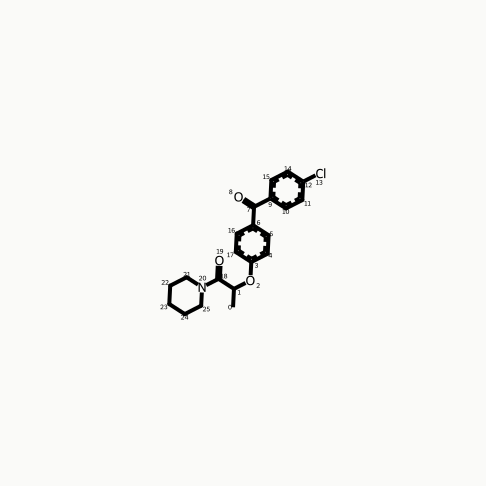 CC(Oc1ccc(C(=O)c2ccc(Cl)cc2)cc1)C(=O)N1CCCCC1